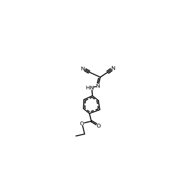 CCOC(=O)c1ccc(NN=C(C#N)C#N)cc1